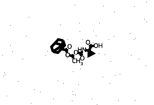 CC(OC(=O)NC1(C(=O)O)CC1)OC(=O)C12CC3CC(CC(C3)C1)C2